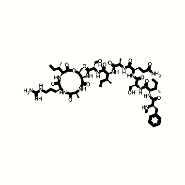 CC[C@H](C)[C@H](NC(=O)[C@@H](C)NC(=O)[C@@H](CCC(N)=O)NC(=O)[C@H](CO)NC(=O)[C@@H](NC(=O)[C@@H](Cc1ccccc1)NC)[C@@H](C)CC)C(=O)N[C@@H](CO)C(=O)N[C@H]1C(=O)N[C@@H](C)C(=O)N[C@@H](CCCNC(=N)N)C(=O)N[C@@H]([C@@H](C)CC)C(=O)O[C@H]1C